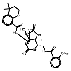 COc1cccnc1C(=O)NC[C@@H]1NC(=N)N2CC(NC(=O)c3cccc4c3OCCC4(C)C)C(O)(O)C23NC(=N)N[C@@H]13